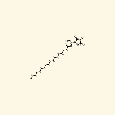 CCCCCCCCCCCCCCCCCC(=O)O[C@@H](CO)[C@H]1OC(=O)C(=O)C1=O